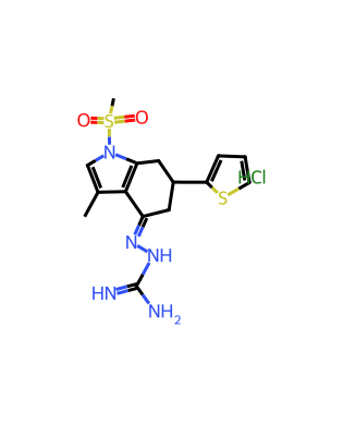 Cc1cn(S(C)(=O)=O)c2c1/C(=N/NC(=N)N)CC(c1cccs1)C2.Cl